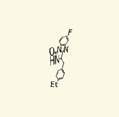 CCc1ccc(CC2NC(=O)n3c2nc2cc(F)ccc23)cc1